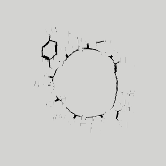 C/C=C(\C)[C@H]1OC(=O)[C@@H](C)NC(=O)[C@H](C(C)CC)NC(=O)CN(C)C(=O)[C@@H](Cc2ccc(C)cc2)N(C)C(=O)[C@H](C)NC(=O)[C@@H](CC(C)C)OC(=O)/C(C)=C/C[C@H](O)[C@@H]1C